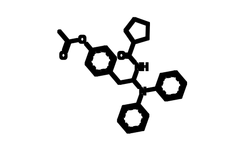 CC(=O)Oc1ccc(CC(NC(=O)C2CCCC2)N(c2ccccc2)c2ccccc2)cc1